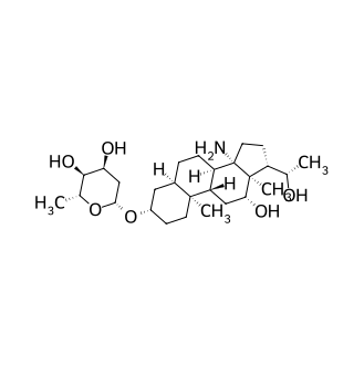 C[C@H](O)[C@H]1CC[C@]2(N)[C@@H]3CC[C@@H]4C[C@@H](O[C@H]5C[C@H](O)[C@H](O)[C@@H](C)O5)CC[C@]4(C)[C@H]3C[C@@H](O)[C@]12C